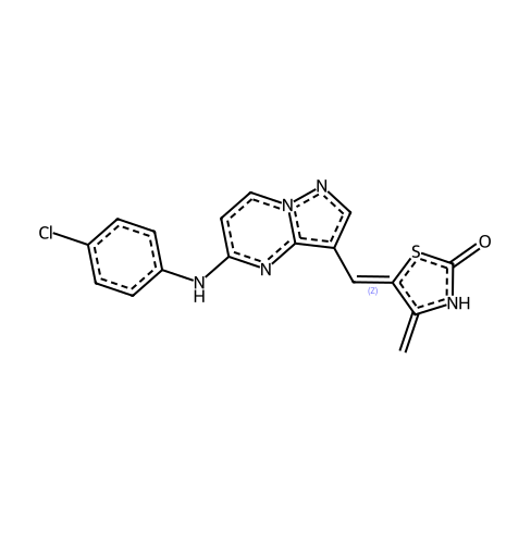 C=c1[nH]c(=O)s/c1=C\c1cnn2ccc(Nc3ccc(Cl)cc3)nc12